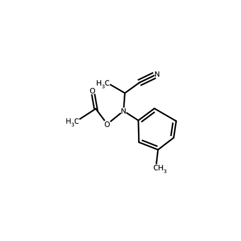 CC(=O)ON(c1cccc(C)c1)C(C)C#N